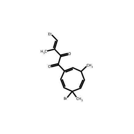 CC/C=C(\C)C(=O)C(=O)C1=C/C(C)/C=C\C(C)(Br)/C=C\1